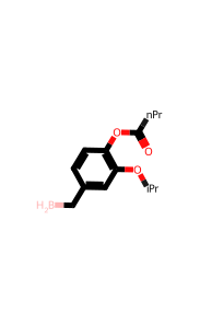 BCc1ccc(OC(=O)CCC)c(OC(C)C)c1